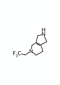 FC(F)(F)CN1CCC2=C(CNC2)C1